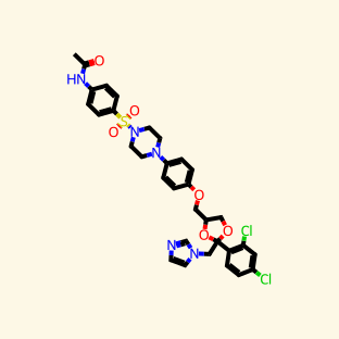 CC(=O)Nc1ccc(S(=O)(=O)N2CCN(c3ccc(OCC4COC(Cn5ccnc5)(c5ccc(Cl)cc5Cl)O4)cc3)CC2)cc1